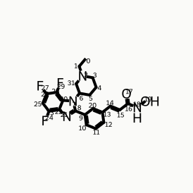 CCN1CCCC(n2c(-c3cccc(C=CC(=O)NO)c3)nc3c(F)cc(F)c(F)c32)C1